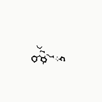 CCC(C)[C@H]1NC(c2ccccc2)c2cc(Cl)ccc2N(CCC(=O)NS(=O)(=O)c2cccs2)C1=O